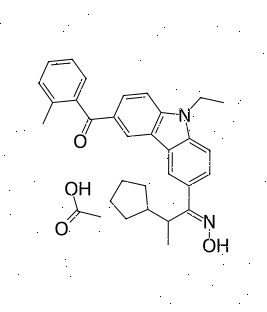 CC(=O)O.CCn1c2ccc(C(=O)c3ccccc3C)cc2c2cc(C(=NO)C(C)C3CCCC3)ccc21